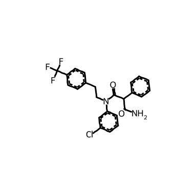 NC(=O)C(C(=O)N(CCc1ccc(C(F)(F)F)cc1)c1cccc(Cl)c1)c1ccccc1